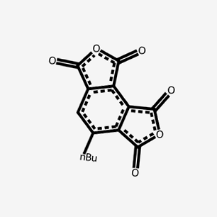 CCCCc1cc2c(=O)oc(=O)c2c2c(=O)oc(=O)c12